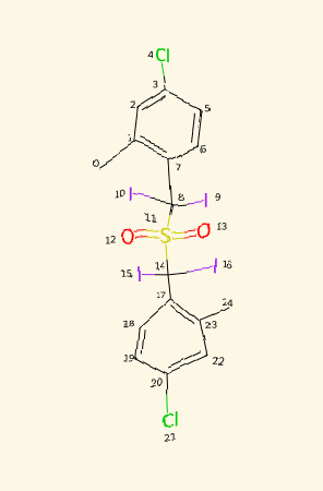 Cc1cc(Cl)ccc1C(I)(I)S(=O)(=O)C(I)(I)c1ccc(Cl)cc1C